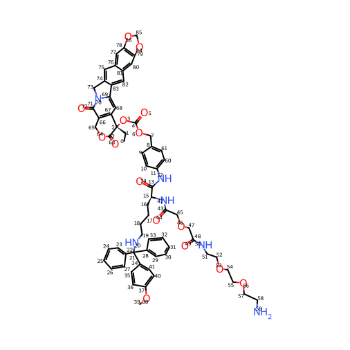 CC[C@@]1(OC(=O)OCc2ccc(NC(=O)[C@H](CCCCNC(c3ccccc3)(c3ccccc3)c3ccc(OC)cc3)NC(=O)COCC(=O)NCCOCCOCCN)cc2)C(=O)OCc2c1cc1n(c2=O)Cc2cc3cc4c(cc3cc2-1)OCO4